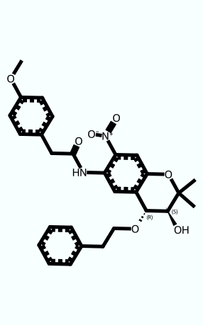 COc1ccc(CC(=O)Nc2cc3c(cc2[N+](=O)[O-])OC(C)(C)[C@@H](O)[C@@H]3OCCc2ccccc2)cc1